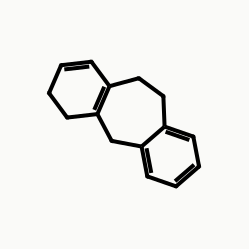 C1=CC2=C(CC1)Cc1ccccc1CC2